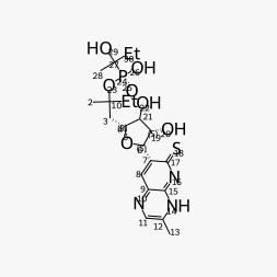 CCC(C)(C[C@H]1O[C@@H](c2cc3ncc(C)[nH]c-3nc2=S)[C@@H](O)C1O)OP(=O)(O)C(C)(O)CC